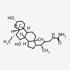 CC[C@H]1[C@@H](O)[C@@H]2[C@H](CC[C@]3(C)[C@@H]([C@H](C)CCNC(N)=O)CC[C@@H]23)[C@@]2(C)CC[C@@H](O)C[C@@H]12